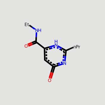 CCCc1nc(=O)cc(C(=O)NCC)[nH]1